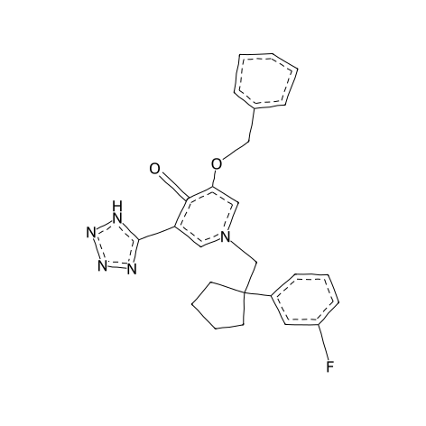 O=c1c(OCc2ccccc2)cn(CC2(c3cccc(F)c3)CCCC2)cc1-c1nnn[nH]1